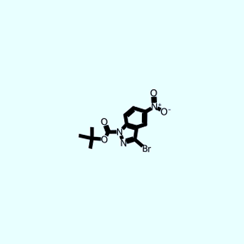 CC(C)(C)OC(=O)n1nc(Br)c2cc([N+](=O)[O-])ccc21